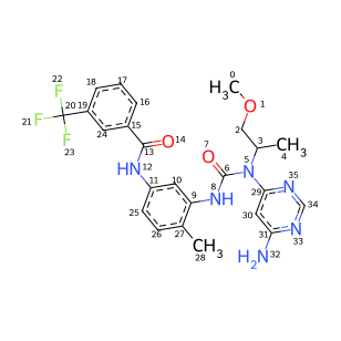 COCC(C)N(C(=O)Nc1cc(NC(=O)c2cccc(C(F)(F)F)c2)ccc1C)c1cc(N)ncn1